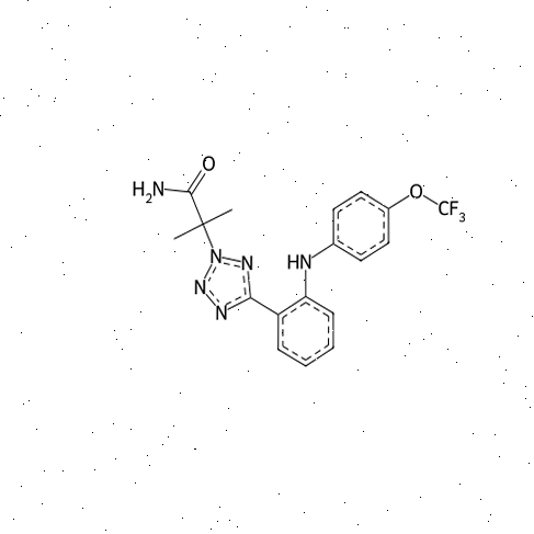 CC(C)(C(N)=O)n1nnc(-c2ccccc2Nc2ccc(OC(F)(F)F)cc2)n1